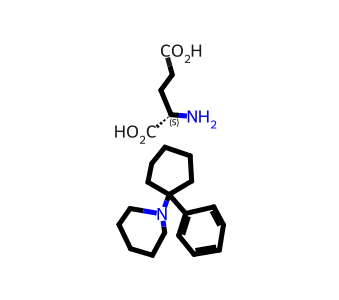 N[C@@H](CCC(=O)O)C(=O)O.c1ccc(C2(N3CCCCC3)CCCCC2)cc1